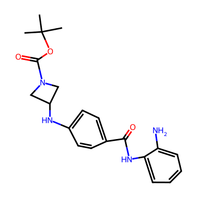 CC(C)(C)OC(=O)N1CC(Nc2ccc(C(=O)Nc3ccccc3N)cc2)C1